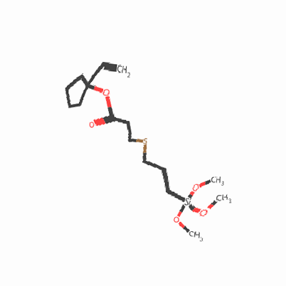 C=CC1(OC(=O)CCSCCC[Si](OC)(OC)OC)CCCC1